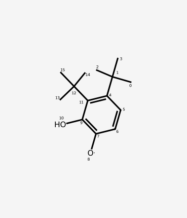 CC(C)(C)c1ccc([O])c(O)c1C(C)(C)C